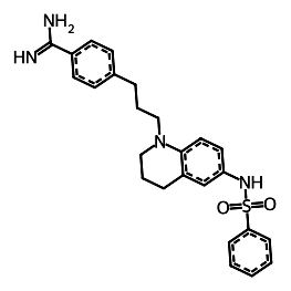 N=C(N)c1ccc(CCCN2CCCc3cc(NS(=O)(=O)c4ccccc4)ccc32)cc1